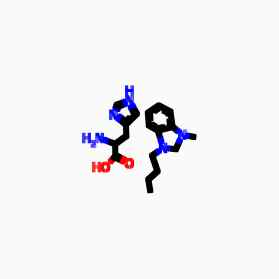 CCCCN1CN(C)c2ccccc21.NC(Cc1c[nH]cn1)C(=O)O